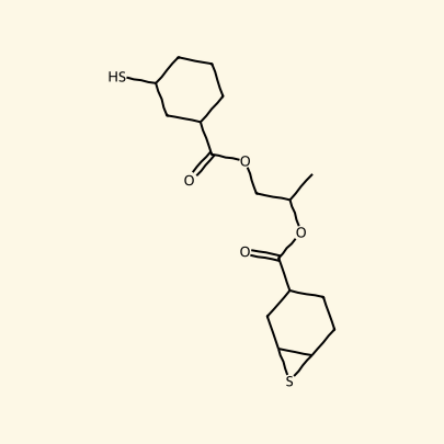 CC(COC(=O)C1CCCC(S)C1)OC(=O)C1CCC2SC2C1